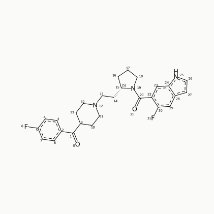 O=C(c1ccc(F)cc1)C1CCN(CC[C@@H]2CCCN2C(=O)c2cc3[nH]ccc3cc2F)CC1